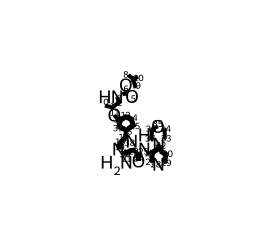 CC(CNC(=O)OC(C)(C)C)Oc1cccc(-c2cnc(N)c(C(=O)Nc3cnccc3N3CCOCC3)n2)c1